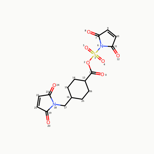 O=C(OS(=O)(=O)N1C(=O)C=CC1=O)C1CCC(CN2C(=O)C=CC2=O)CC1